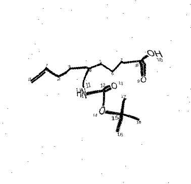 C=CCCC(CCCC(=O)O)NC(=O)OC(C)(C)C